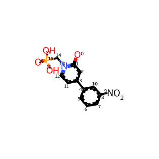 O=c1cc(-c2cccc([N+](=O)[O-])c2)ccn1CP(=O)(O)O